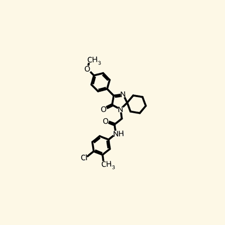 COc1ccc(C2=NC3(CCCCC3)N(CC(=O)Nc3ccc(Cl)c(C)c3)C2=O)cc1